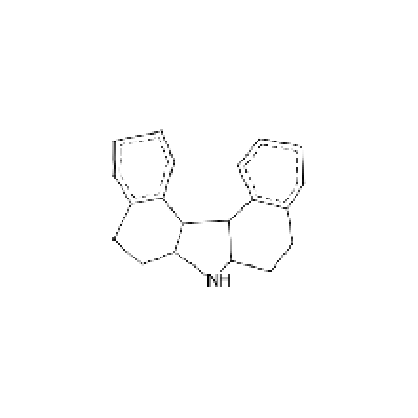 c1ccc2c(c1)CCC1NC3CCc4ccccc4C3C21